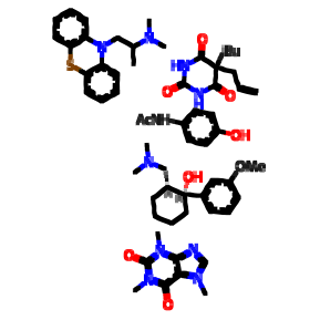 C=CCC1(C(C)CC)C(=O)NC(=O)NC1=O.CC(=O)Nc1ccc(O)cc1.CC(CN1c2ccccc2Sc2ccccc21)N(C)C.COc1cccc([C@@]2(O)CCCC[C@@H]2CN(C)C)c1.Cn1c(=O)c2c(ncn2C)n(C)c1=O